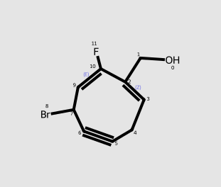 OCC1=C/CC#CC(Br)/C=C\1F